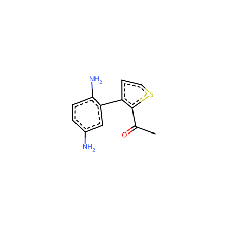 CC(=O)c1sccc1-c1cc(N)ccc1N